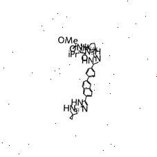 COC(=O)N[C@H](C(=O)N1[C@@H]2CC[C@@H](C2)[C@H]1C1=NCC(c2ccc(-c3ccc4cc(-c5cnc([C@@H]6CC7(CC7)CN6)[nH]5)ccc4c3)cc2)N1)C(C)C